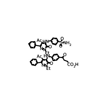 CCn1nc(-c2ccccc2)c(C(C)=O)c(Nc2ccc(C(=O)CCC(=O)O)cc2)c1=O.CCn1nc(-c2ccccc2)c(C(C)=O)c(Nc2ccc(S(N)(=O)=O)cc2)c1=O